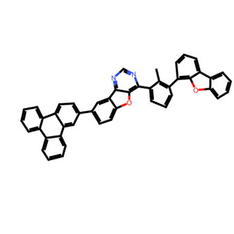 Cc1c(-c2cccc3c2oc2ccccc23)cccc1-c1ncnc2c1oc1ccc(-c3ccc4c5ccccc5c5ccccc5c4c3)cc12